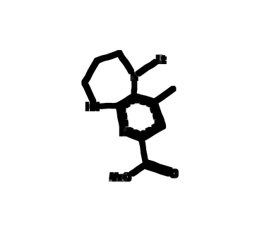 CCN1CCCNc2nc(C(=O)OC)cc(C)c21